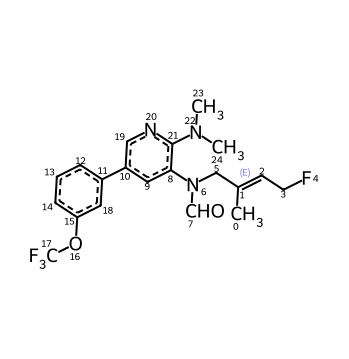 C/C(=C\CF)CN(C=O)c1cc(-c2cccc(OC(F)(F)F)c2)cnc1N(C)C